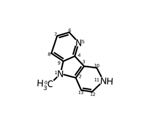 Cn1c2c(c3ncccc31)CNC=C2